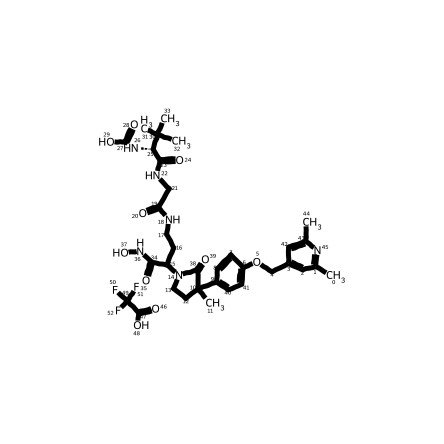 Cc1cc(COc2ccc(C3(C)CCN(C(CCNC(=O)CNC(=O)[C@H](NC(=O)O)C(C)(C)C)C(=O)NO)C3=O)cc2)cc(C)n1.O=C(O)C(F)(F)F